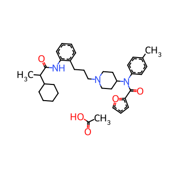 CC(=O)O.Cc1ccc(N(C(=O)c2ccco2)C2CCN(CCCc3ccccc3NC(=O)C(C)C3CCCCC3)CC2)cc1